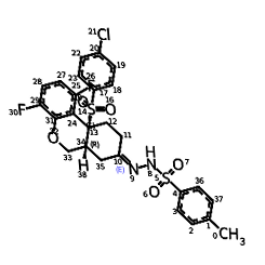 Cc1ccc(S(=O)(=O)N/N=C2\CC[C@@]3(S(=O)(=O)c4ccc(Cl)cc4)c4c(F)ccc(F)c4OC[C@H]3C2)cc1